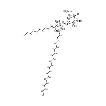 CCCCCCCCC/C=C/[C@@H](O)[C@H](CO[C@@H]1O[C@H](CO)[C@@H](O)C(O)C1O)NC(=O)CCCCCCCCCCCCCCCCCCCCC